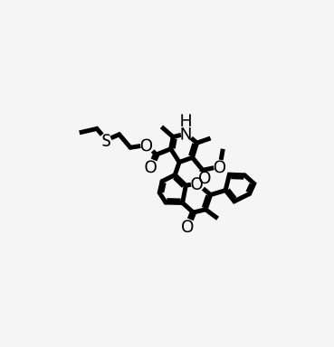 CCSCCOC(=O)C1=C(C)NC(C)=C(C(=O)OC)C1c1cccc2c(=O)c(C)c(-c3ccccc3)oc12